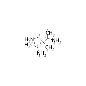 [CH2]C(CN)(C(C)N)C(C)N